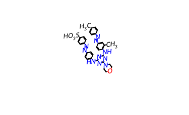 Cc1ccc(N=Nc2ccc(Nc3nc(Nc4ccc(N=Nc5ccc(S(=O)(=O)O)cc5)cc4)nc(N4CCOCC4)n3)c(C)c2)cc1